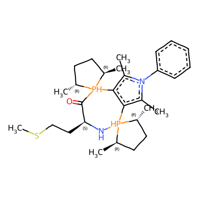 CSCC[C@@H]1N[PH]2(c3c(c(C)n(-c4ccccc4)c3C)[PH]3(C1=O)[C@H](C)CC[C@H]3C)[C@H](C)CC[C@H]2C